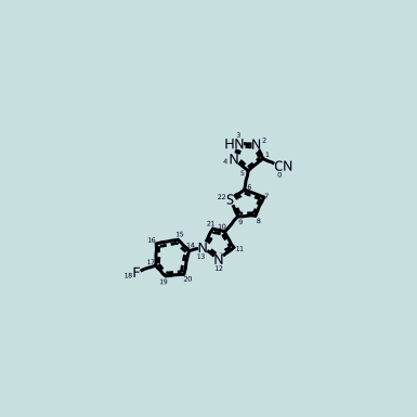 N#Cc1n[nH]nc1-c1ccc(-c2cnn(-c3ccc(F)cc3)c2)s1